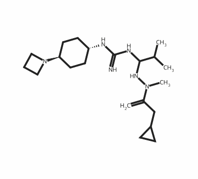 C=C(CC1CC1)N(C)NC(NC(=N)N[C@H]1CC[C@H](N2CCC2)CC1)C(C)C